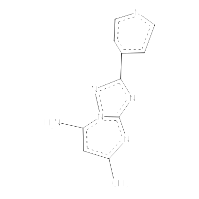 Cc1cc(N)n2nc(-c3ccncc3)nc2n1